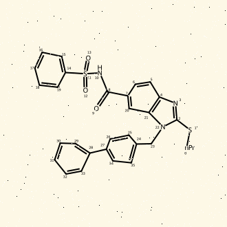 CCCSc1nc2ccc(C(=O)NS(=O)(=O)c3ccccc3)cc2n1Cc1ccc(-c2ccccc2)cc1